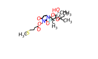 CC[Si](CC)(CC)O[C@@H]1[C@@H](CO)O[C@@H](n2ccc(=O)n(COC(=O)CCCSC)c2=O)[C@]1(C)F